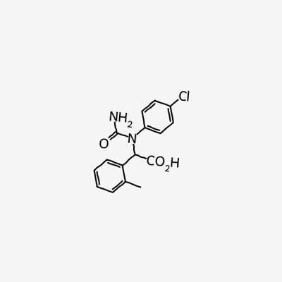 Cc1ccccc1C(C(=O)O)N(C(N)=O)c1ccc(Cl)cc1